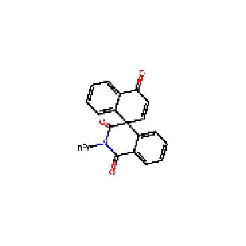 CCCN1C(=O)c2ccccc2C2(C=CC(=O)c3ccccc32)C1=O